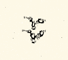 CC(C)n1cc(-c2cc3nccnc3c(NC[C@@H]3CCCNC3)n2)cn1.CCn1cc(-c2cc3nccnc3c(NC[C@@H]3CCCNC3)n2)cn1